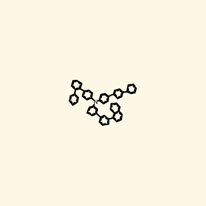 c1ccc(-c2ccc(-c3ccc(N(c4ccc(-c5ccccc5-c5ccccc5)cc4)c4cccc(-c5cccc(-c6cccc7ccccc67)c5)c4)cc3)cc2)cc1